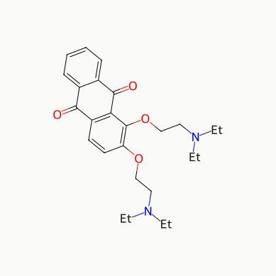 CCN(CC)CCOc1ccc2c(c1OCCN(CC)CC)C(=O)c1ccccc1C2=O